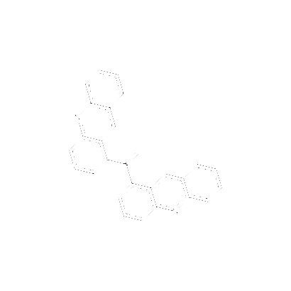 S=C(c1cccc2nc3ccccc3cc12)c1cccc2nc3ccccc3cc12